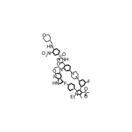 CCn1c(C)c(S(C)(=O)=O)c(-c2cc(F)cc(N3CCN(c4ccc(C(=O)NS(=O)(=O)c5ccc(NCC6CCOCC6)c([N+](=O)[O-])c5)c(N5CCOc6nc7[nH]ccc7cc65)c4)CC3)c2)c1-c1ccc(F)cc1